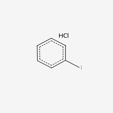 Cl.[C]c1ccccc1